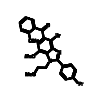 COCCn1c(-c2ccc(C(C)C)cc2)nc2c(Br)c(C(=O)c3ccccc3OC)cc(OC)c21